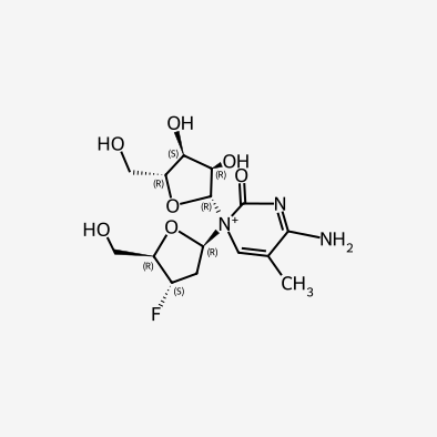 CC1=C[N+]([C@@H]2O[C@H](CO)[C@@H](O)[C@H]2O)([C@H]2C[C@H](F)[C@@H](CO)O2)C(=O)N=C1N